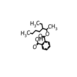 CCCCC(CC)C(C)OC(=O)c1ccccc1C(=O)O